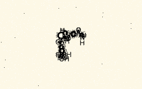 O=C(N[C@H]1CCCC[C@H]2CC[C@@H](C(=O)N3CCN(C(=O)c4cn[nH]c4)CC3)N2C1=O)c1cc2cc(C(F)(F)P(=O)(O)O)ccc2s1